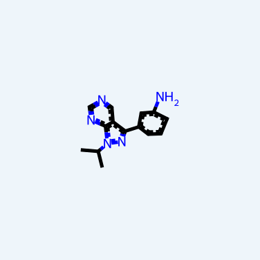 CC(C)n1nc(-c2cccc(N)c2)c2cncnc21